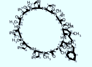 CC(C)C[C@@H]1C(=O)N[C@H](CC(C)C)C(=O)N(C)[C@H](C(C)C)C(=O)N(C)[C@H]([C@H](O)[C@H](C)CCNCc2ccccc2)C(=O)N[C@H]([C@@H](C)O)C(=O)N(C)CC(=O)CN(C)[C@@H](CC(C)C)C(=O)N[C@H](CC(C)C)C(=O)N(C)[C@H](CC(C)C)C(=O)N[C@H](C)C(=O)O[C@@H](C(C)C)C(=O)N1C